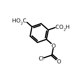 O=C(Cl)Oc1ccc(C(=O)O)cc1C(=O)O